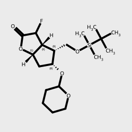 CC(C)(C)[Si](C)(C)OC[C@H]1[C@H]2C(F)C(=O)O[C@H]2C[C@H]1OC1CCCCO1